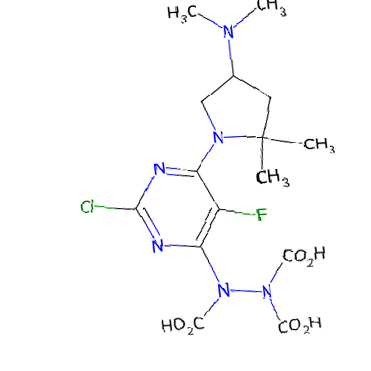 CN(C)C1CN(c2nc(Cl)nc(N(C(=O)O)N(C(=O)O)C(=O)O)c2F)C(C)(C)C1